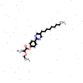 CCCCCCCCCc1cnc(-c2ccc(OC(=O)C(C)OCC)cc2)nc1